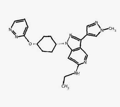 CCNc1cc2c(cn1)c(-c1cnn(C)c1)nn2[C@H]1CC[C@@H](Oc2cccnn2)CC1